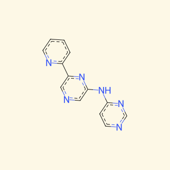 c1ccc(-c2cncc(Nc3ccncn3)n2)nc1